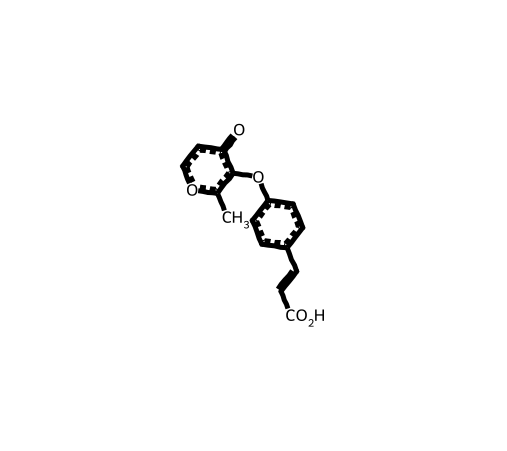 Cc1occc(=O)c1Oc1ccc(C=CC(=O)O)cc1